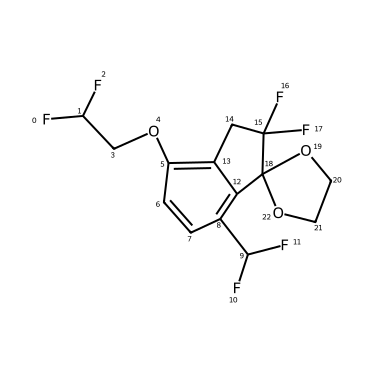 FC(F)COc1ccc(C(F)F)c2c1CC(F)(F)C21OCCO1